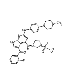 CN1CCN(c2ccc(Nc3nc(N[C@H]4CCN(S(=O)(=O)C5CC5)C4)c4c(C(=O)c5ccccc5F)c[nH]c4n3)cc2)CC1